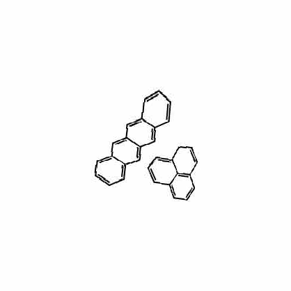 C1=Cc2cccc3cccc(c23)C1.c1ccc2cc3cc4ccccc4cc3cc2c1